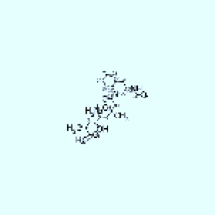 C[C@H](C[C@H](O)[C@@H](N)CC(C)(C)CC(=O)N1C[C@H](NC=O)Cc2ccccc21)C(=O)O